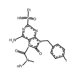 CCCN(C)C(=O)n1c(=O)n(Cc2ccc(I)cc2)c2nc(S(=N)(=O)CC)nc(N)c21